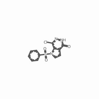 O=c1[nH]nc(Cl)c2c1ccn2S(=O)(=O)c1ccccc1